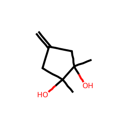 C=C1CC(C)(O)C(C)(O)C1